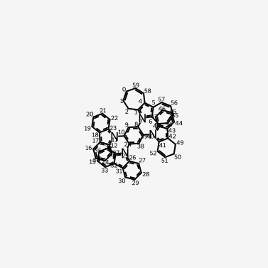 C1=CCc2c(c3c(n2-c2cc(-n4c5ccccc5c5ccccc54)c(-n4c5ccccc5c5ccccc54)cc2-n2c4c(c5ccccc52)CCC=C4)CC=CC=C3)C=C1